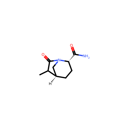 CC1C(=O)N2C[C@H]1CC[C@H]2C(N)=O